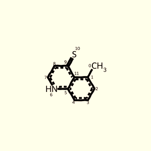 Cc1cccc2[nH]ccc(=S)c12